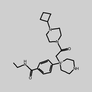 CCNC(=O)c1ccc([N+]2(CC(=O)N3CCN(C4CCC4)CC3)CCNCC2)cc1